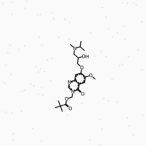 COc1cc2c(=O)n(COC(=O)C(C)(C)C)cnc2cc1OCC(O)CN(C)C(C)C